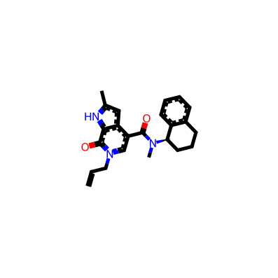 C=CCn1cc(C(=O)N(C)[C@@H]2CCCc3ccccc32)c2cc(C)[nH]c2c1=O